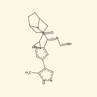 Cc1[nH]ncc1-c1c[nH]c(/C(=N\C=N)N2CC3CCC(C2)N3C(=O)C2CC2)c1